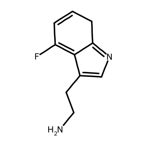 NCCC1=CN=C2CC=CC(F)=C12